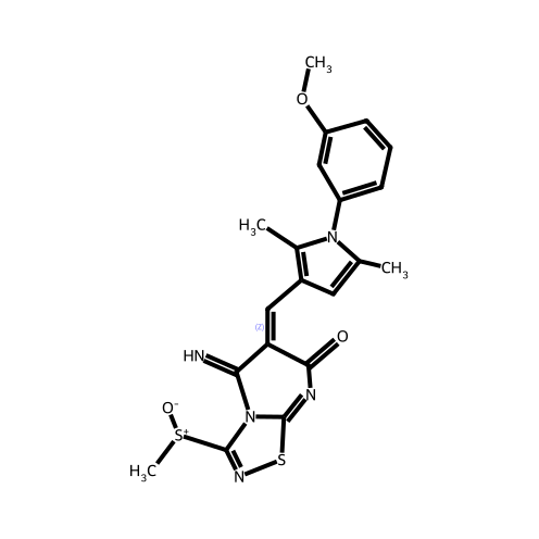 COc1cccc(-n2c(C)cc(/C=C3/C(=N)N4C(=NC3=O)SN=C4[S+](C)[O-])c2C)c1